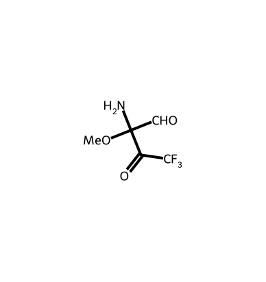 COC(N)(C=O)C(=O)C(F)(F)F